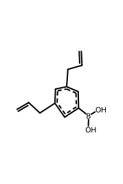 C=CCc1cc(CC=C)cc(B(O)O)c1